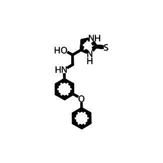 OC(CNc1cccc(Oc2ccccc2)c1)c1c[nH]c(=S)[nH]1